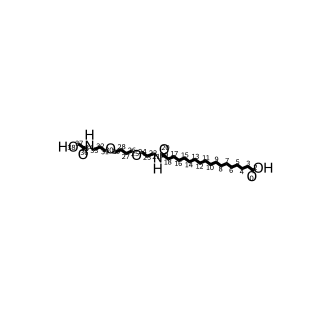 O=C(O)CCCCCCCCCCCCCCCCC(=O)NCCCOCCCCOCCCNC(=O)CO